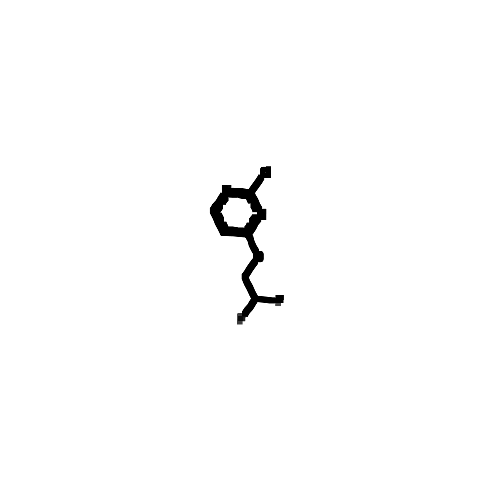 FC(F)COc1ccnc(Cl)n1